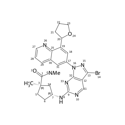 CNC(=O)[C@]1(C)CC[C@@H](Nc2ncc3c(Br)nn(-c4cc(C5CCCO5)c5ncccc5c4)c3n2)C1